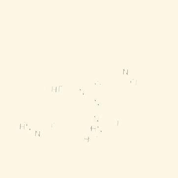 Cc1ccc2[nH]ncc2c1-c1c(Cl)cc2c(N3C[C@H]4CC[C@@H](C3)N4)nc(OC[C@@H]3CCCN3C)nc2c1F